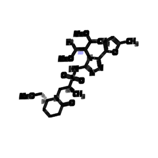 C=C(OC)/C(=C(\CC)OC)n1c(NS(=O)(=O)[C@@H](C)CN2C(=O)CCC[C@@H]2COC)nnc1-c1ccc(C)o1